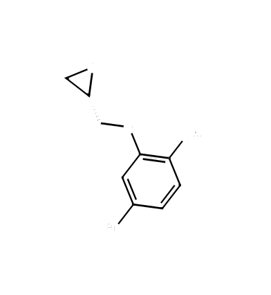 CC(=O)Oc1ccc(Br)cc1OC[C@@H]1CO1